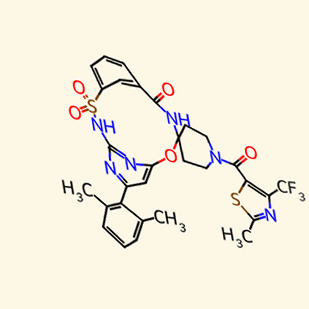 Cc1nc(C(F)(F)F)c(C(=O)N2CCC3(CC2)NC(=O)c2cccc(c2)S(=O)(=O)Nc2nc(cc(-c4c(C)cccc4C)n2)O3)s1